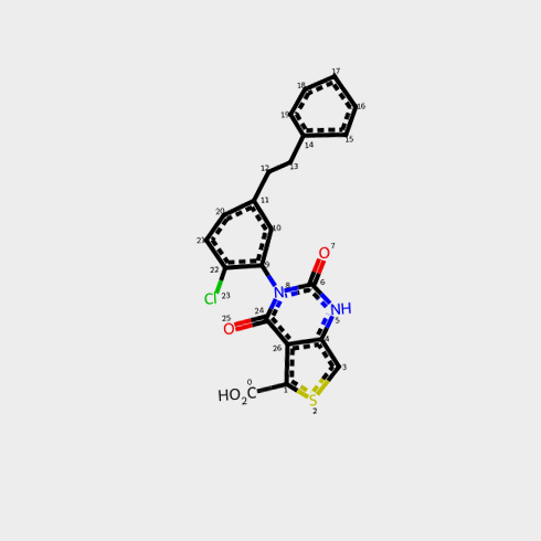 O=C(O)c1scc2[nH]c(=O)n(-c3cc(CCc4ccccc4)ccc3Cl)c(=O)c12